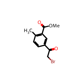 COC(=O)c1cc(C(=O)CBr)ccc1C